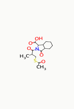 CC(=O)SCC(C)C(=O)N1C(=O)C2CCCCC2C1C(=O)O